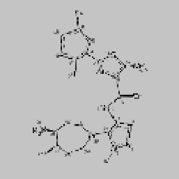 Cn1ncc(NC(=O)c2nc(-c3cc(F)ccc3F)sc2N)c1N1CC[C@@H](F)[C@@H](N)CC1